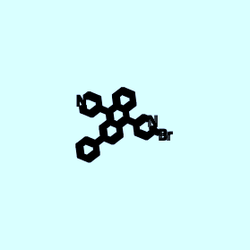 Brc1ccc(-c2c3ccccc3c(-c3ccncc3)c3cc(-c4ccccc4)ccc23)cn1